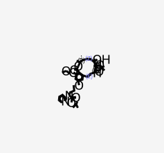 COCOc1cc(OCCCN(C(=O)OC(C)(C)C)c2ccccn2)cc2c1C(=O)OC(C)[C@H](C)/C=C\C(O)[C@H]1OC(C)(C)O[C@H]1C/C=C/2